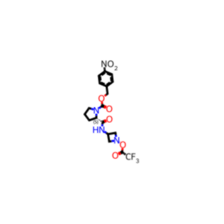 O=C(NC1CN(OC(=O)C(F)(F)F)C1)[C@@H]1CCCN1C(=O)OCc1ccc([N+](=O)[O-])cc1